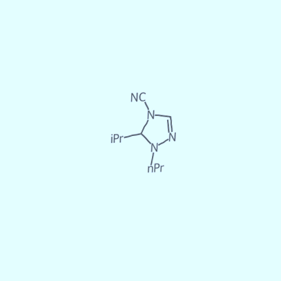 CCCN1N=CN(C#N)C1C(C)C